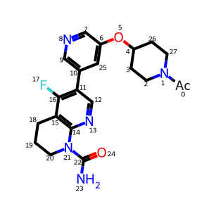 CC(=O)N1CCC(Oc2cncc(-c3cnc4c(c3F)CCCN4C(N)=O)c2)CC1